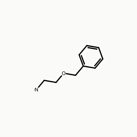 [N]CCOCc1ccccc1